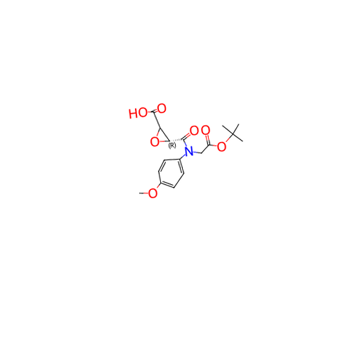 COc1ccc(N(CC(=O)OC(C)(C)C)C(=O)[C@@H]2OC2C(=O)O)cc1